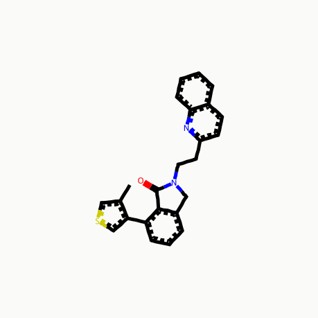 Cc1cscc1-c1cccc2c1C(=O)N(CCc1ccc3ccccc3n1)C2